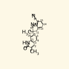 Cc1cc2ccc(C(C)(C#N)Cc3cccc(C#N)n3)cc2[nH]c1=O